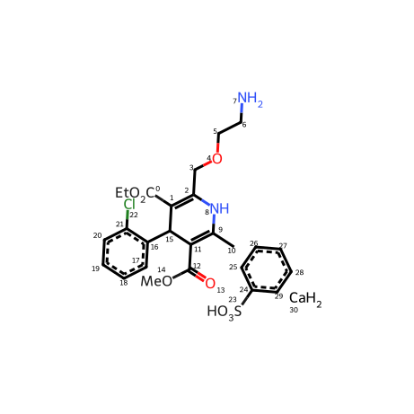 CCOC(=O)C1=C(COCCN)NC(C)=C(C(=O)OC)C1c1ccccc1Cl.O=S(=O)(O)c1ccccc1.[CaH2]